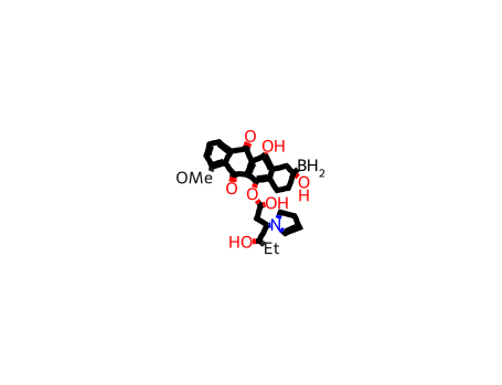 BC1(O)CCc2c(c(O)c3c(c2OC(O)CC(C(O)CC)N2C=CCC2)C(=O)c2c(OC)cccc2C3=O)C1